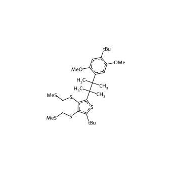 COc1cc(C(C)(C)C(C)(C)c2sc(C(C)(C)C)c(SCSC)c2SCSC)c(OC)cc1C(C)(C)C